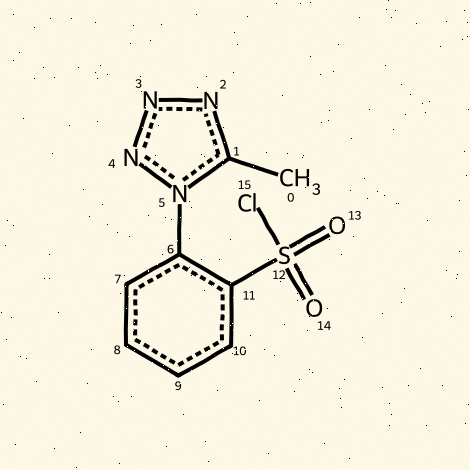 Cc1nnnn1-c1ccccc1S(=O)(=O)Cl